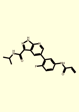 C=CC(=O)Nc1ccc(F)c(-c2cnc3[nH]nc(C(=O)NC(C)C)c3c2)c1